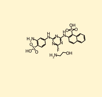 NCCO.Nc1cc(Nc2nc(F)nc(Nc3ccc4ccccc4c3S(=O)(=O)O)n2)ccc1S(=O)(=O)O